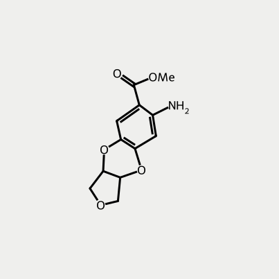 COC(=O)c1cc2c(cc1N)OC1COCC1O2